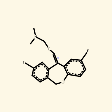 CN(C)CC/C=C1\c2cc(F)ccc2COc2ccc(F)cc21